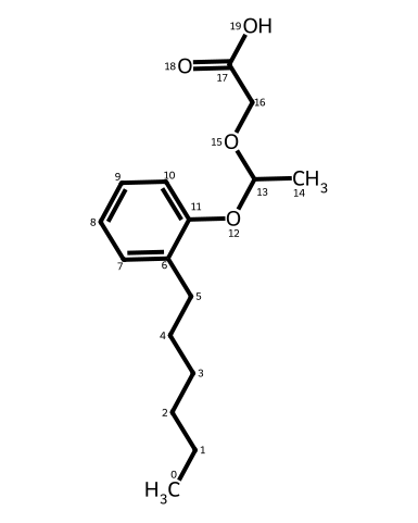 CCCCCCc1ccccc1OC(C)OCC(=O)O